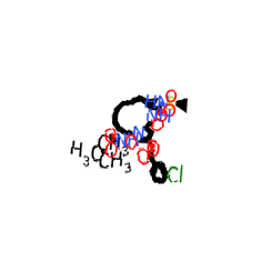 CC(C)(C)OC(=O)NC1CCCCC/C=C/C2CC2(C(=O)NS(=O)(=O)C2CC2)NC(=O)C2CC(OC(=O)c3cccc(Cl)c3)CN2C1=O